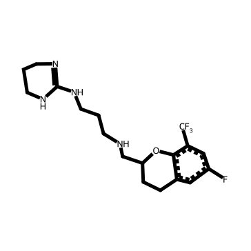 Fc1cc2c(c(C(F)(F)F)c1)OC(CNCCCNC1=NCCCN1)CC2